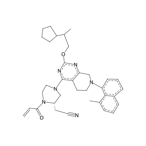 C=CC(=O)N1CCN(c2nc(OCC(C)C3CCCC3)nc3c2CCN(c2cccc4cccc(C)c24)C3)C[C@@H]1CC#N